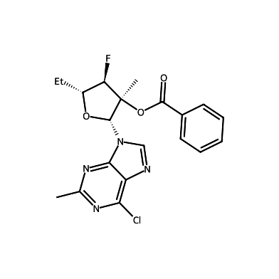 CC[C@H]1O[C@@H](n2cnc3c(Cl)nc(C)nc32)[C@](C)(OC(=O)c2ccccc2)[C@@H]1F